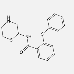 O=C(NC1CNCCS1)c1ccccc1Sc1ccccc1